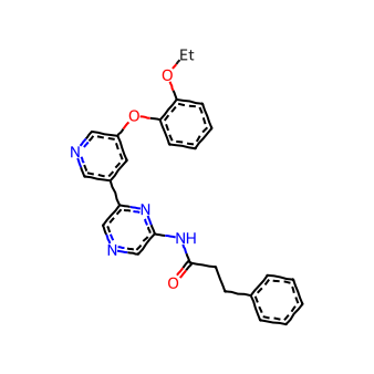 CCOc1ccccc1Oc1cncc(-c2cncc(NC(=O)CCc3ccccc3)n2)c1